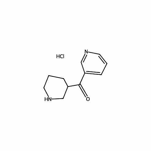 Cl.O=C(c1cccnc1)C1CCCNC1